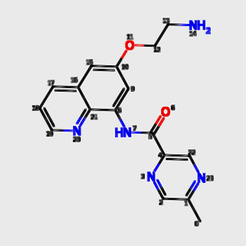 Cc1cnc(C(=O)Nc2cc(OCCN)cc3cccnc23)cn1